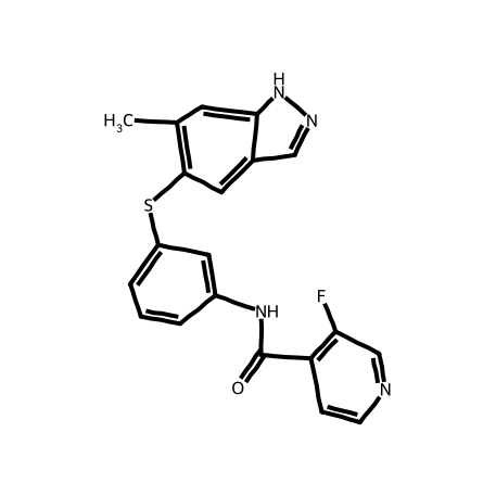 Cc1cc2[nH]ncc2cc1Sc1cccc(NC(=O)c2ccncc2F)c1